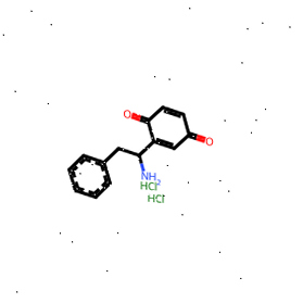 Cl.Cl.NC(Cc1ccccc1)C1=CC(=O)C=CC1=O